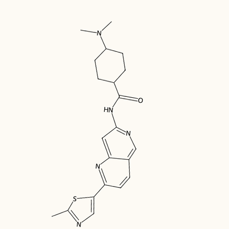 Cc1ncc(-c2ccc3cnc(NC(=O)C4CCC(N(C)C)CC4)cc3n2)s1